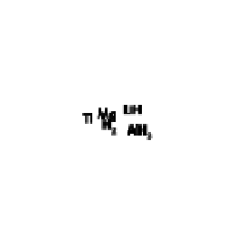 [AlH3].[LiH].[MgH2].[Ti]